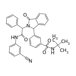 CC(C)(C)NS(=O)(=O)c1cccc(C2c3ccccc3C(=O)N2C(C(=O)Nc2cccc(C#N)c2)c2ccccc2)c1